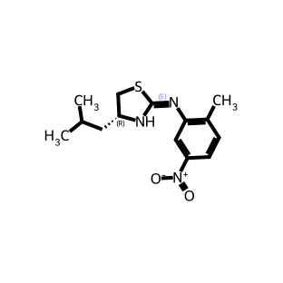 Cc1ccc([N+](=O)[O-])cc1/N=C1\N[C@H](CC(C)C)CS1